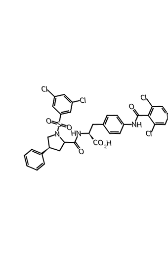 O=C(Nc1ccc(C[C@H](NC(=O)C2C[C@@H](c3ccccc3)CN2S(=O)(=O)c2cc(Cl)cc(Cl)c2)C(=O)O)cc1)c1c(Cl)cncc1Cl